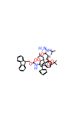 CC(C)C[C@@H](C(=O)NN)[C@H](C(=O)OC(C)(C)C)C(/C=C/c1ccccc1)(CC(C)C)C(=O)[C@@H](Cc1ccccc1)NC(=O)OCC1c2ccccc2-c2ccccc21